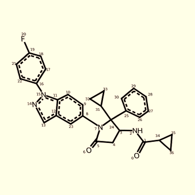 O=C(NC1CC(=O)N(c2ccc3c(cnn3-c3ccc(F)cc3)c2)C1(c1ccccc1)C1CC1)C1CC1